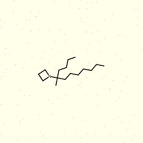 CCCCCCCC(C)(CCCC)N1CCC1